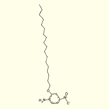 CCCCCCCCCCCCCCCCCCOc1cc([N+](=O)[O-])ccc1N